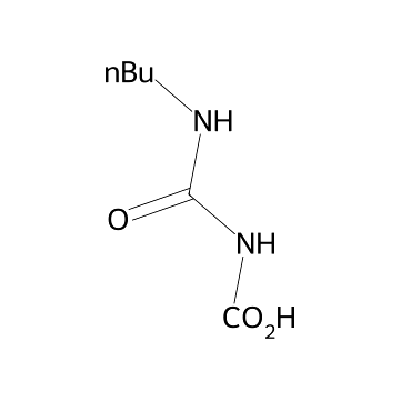 CCCCNC(=O)NC(=O)O